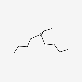 CCCC[S+](CC)CCCC